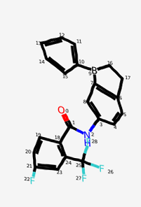 O=C(Nc1ccc2c(c1)B(c1ccccc1)CC2)c1ccc(F)cc1C(F)(F)F